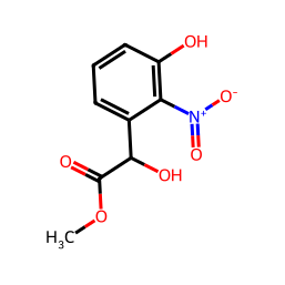 COC(=O)C(O)c1cccc(O)c1[N+](=O)[O-]